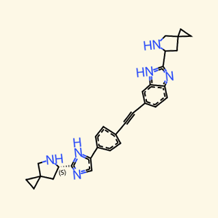 C(#Cc1ccc2nc(C3CC4(CC4)CN3)[nH]c2c1)c1ccc(-c2cnc([C@@H]3CC4(CC4)CN3)[nH]2)cc1